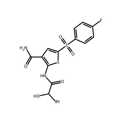 CC(C)C(O)C(=O)Nc1sc(S(=O)(=O)c2ccc(F)cc2)cc1C(N)=O